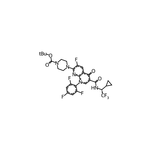 CC(C)(C)OC(=O)N1CCN(c2nc3c(cc2F)c(=O)c(C(=O)N[C@@H](C2CC2)C(F)(F)F)cn3-c2c(F)cc(F)cc2F)CC1